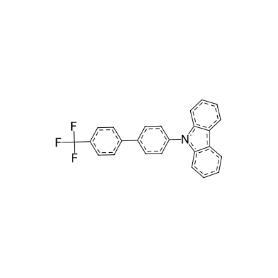 FC(F)(F)c1ccc(-c2ccc(-n3c4ccccc4c4ccccc43)cc2)cc1